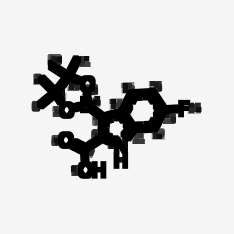 CC1(C)OB(c2c(C(=O)O)[nH]c3cc(F)ccc23)OC1(C)C